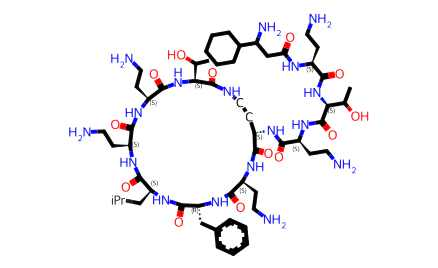 CC(C)C[C@@H]1NC(=O)[C@@H](Cc2ccccc2)NC(=O)[C@H](CCN)NC(=O)[C@@H](NC(=O)[C@H](CCN)NC(=O)[C@@H](NC(=O)[C@H](CCN)NC(=O)CC(N)C2CCCCC2)C(C)O)CCNC(=O)[C@H](C(C)O)NC(=O)[C@H](CCN)NC(=O)[C@H](CCN)NC1=O